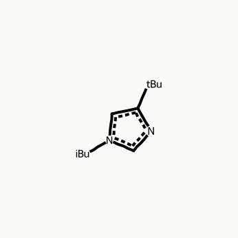 CCC(C)n1cnc(C(C)(C)C)c1